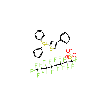 O=S(=O)([O-])C(F)(F)C(F)(F)C(F)(F)C(F)(F)C(F)(F)C(F)(F)C(F)(F)C(F)(F)F.c1ccc(-c2csc([S+](c3ccccc3)c3ccccc3)c2)cc1